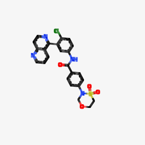 O=C(Nc1ccc(Cl)c(-c2nccc3ncccc23)c1)c1ccc(N2COCCS2(=O)=O)cc1